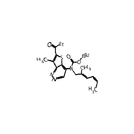 C/C=C\C=C(/C)CN(C(=O)OC(C)(C)C)c1cnnc2c(C)c(C(=O)CC)sc12